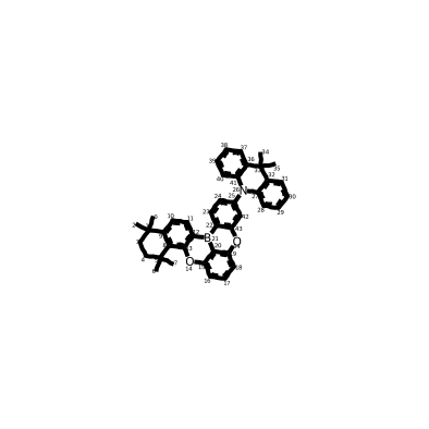 CC1(C)CCC(C)(C)c2c1ccc1c2Oc2cccc3c2B1c1ccc(N2c4ccccc4C(C)(C)c4ccccc42)cc1O3